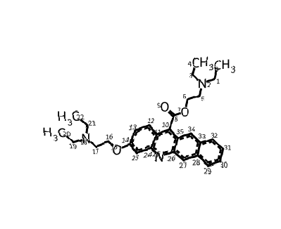 CCN(CC)CCOC(=O)c1c2ccc(OCCN(CC)CC)cc2nc2cc3ccccc3cc12